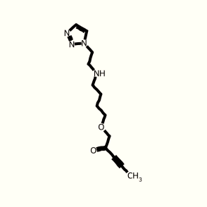 CC#CC(=O)COCCCCNCCn1ccnn1